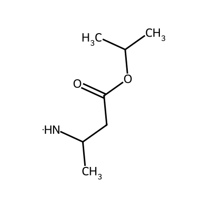 CC([NH])CC(=O)OC(C)C